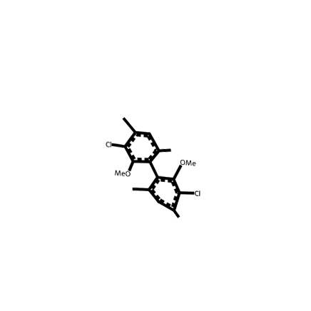 COc1c(Cl)c(C)cc(C)c1-c1c(C)cc(C)c(Cl)c1OC